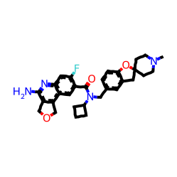 CN1CCC2(CC1)Cc1cc(CN(C(=O)c3cc4c5c(c(N)nc4cc3F)COC5)C3CCC3)ccc1O2